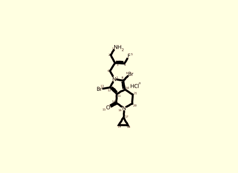 Cl.NCC(=CF)Cn1c(Br)c2c(c1Br)C(=O)N(C1CC1)CC2